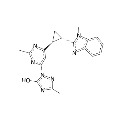 Cc1nc([C@H]2C[C@@H]2c2nc3ccccc3n2C)cc(-n2nc(C)nc2O)n1